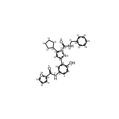 O=C(Nc1ccc(O)c(-c2cc(C3CCCC3)n(C(=O)NCc3ccccc3)n2)c1)c1ccco1